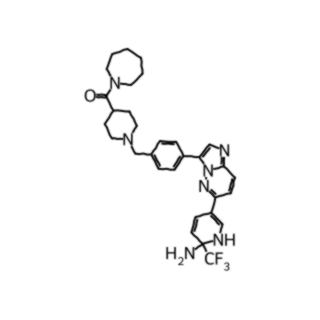 NC1(C(F)(F)F)C=CC(c2ccc3ncc(-c4ccc(CN5CCC(C(=O)N6CCCCCC6)CC5)cc4)n3n2)=CN1